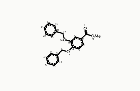 COC(=O)c1ccc(OCc2ccccc2)c(OCc2ccccc2)c1